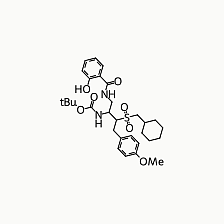 COc1ccc(CC(C(CNC(=O)c2ccccc2O)NC(=O)OC(C)(C)C)S(=O)(=O)CC2CCCCC2)cc1